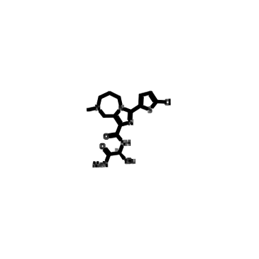 CNC(=O)[C@@H](NC(=O)c1nc(-c2ccc(Cl)s2)n2c1CN(C)CCC2)C(C)(C)C